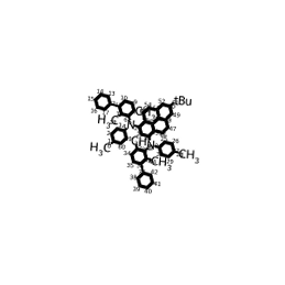 Cc1ccc(N(c2c(C)ccc(-c3ccccc3)c2C)c2cc(N(c3ccc(C)cc3)c3c(C)ccc(-c4ccccc4)c3C)c3ccc4cc(C(C)(C)C)cc5ccc2c3c54)cc1